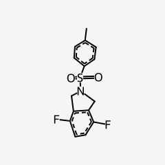 Cc1ccc(S(=O)(=O)N2Cc3c(F)ccc(F)c3C2)cc1